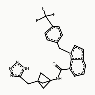 O=C(NC12CC(Cc3nnn[nH]3)(C1)C2)c1cccc2ccn(Cc3ccc(C(F)(F)F)cc3)c12